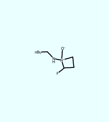 CCCCCN[N+]1([O-])CCC1F